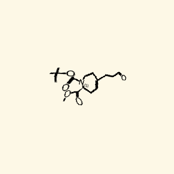 COC(=O)[C@@H]1CC=C(CCC=O)CCN1C(=O)OC(C)(C)C